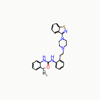 Cc1ccccc1NC(=O)Nc1ccccc1CCN1CCN(c2nsc3ccccc23)CC1